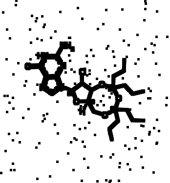 CCC[Si]1(CCC)OC[C@H]2O[C@@H](n3cnc4c(=O)[nH]c(N)nc43)C(Cl)C2O[Si](CCC)(CCC)O1